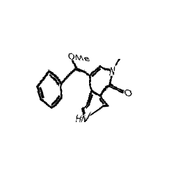 COC(c1ccccc1)c1cn(C)c(=O)c2c[nH]cc12